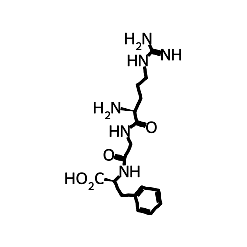 N=C(N)NCCC[C@H](N)C(=O)NCC(=O)N[C@@H](Cc1ccccc1)C(=O)O